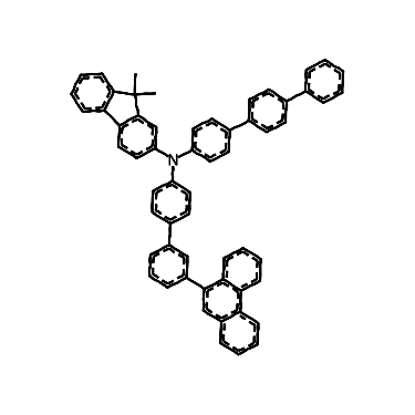 CC1(C)c2ccccc2-c2ccc(N(c3ccc(-c4ccc(-c5ccccc5)cc4)cc3)c3ccc(-c4cccc(-c5cc6ccccc6c6ccccc56)c4)cc3)cc21